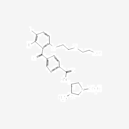 N[C@@H]1CN(C(=O)O)C[C@H]1NC(=O)c1ccc(C(=O)c2c(OCCOCCO)ccc(F)c2F)cc1